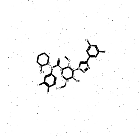 CO[C@@H]1[C@@H](n2cc(-c3cc(F)cc(Cl)c3)nn2)[C@@H](O)[C@@H](CO)O[C@H]1C(=O)N(c1ccc(F)c(F)c1)[C@H]1CCCC[C@@H]1O